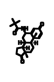 CC(C)(C)C(=O)N[C@@H]1C[C@@H]2[C@H](CC[C@]3(C)C(=O)CC[C@@H]23)[C@@]2(C)C=CC(=O)C=C12